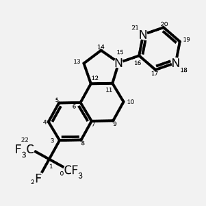 FC(F)(F)C(F)(c1ccc2c(c1)CCC1C2CCN1c1cnccn1)C(F)(F)F